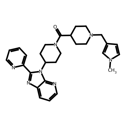 Cn1ccc(CN2CCC(C(=O)N3CCC(n4c(-c5ccccn5)nc5cccnc54)CC3)CC2)c1